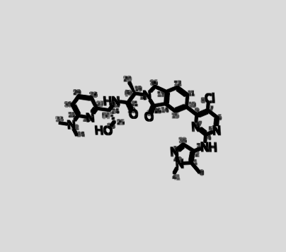 Cc1c(Nc2ncc(Cl)c(-c3ccc4c(c3)C(=O)N([C@H](C)C(=O)N[C@H](CO)c3cccc(N(C)C)n3)C4)n2)cnn1C